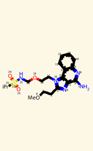 COCCc1nc2c(N)nc3ccccc3c2n1CCOCNS(=O)(=O)C(C)C